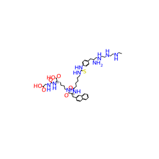 CCNCCNCCNCC(N)Cc1ccc(NC(=S)NCCCCCC(=O)N[C@@H](Cc2ccc3ccccc3c2)C(=O)NCCCC[C@H](NC(=O)NCC(=O)O)C(=O)O)cc1